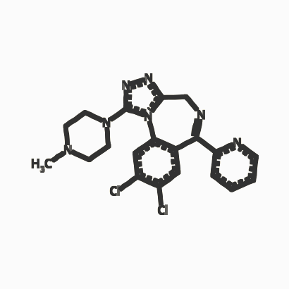 CN1CCN(c2nnc3n2-c2cc(Cl)c(Cl)cc2C(c2ccccn2)=NC3)CC1